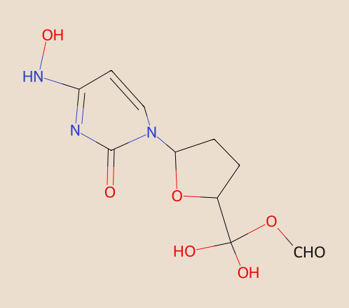 O=COC(O)(O)C1CCC(n2ccc(NO)nc2=O)O1